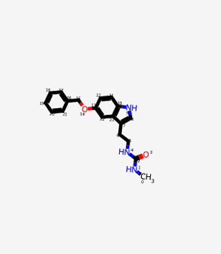 CNC(=O)NCCc1c[nH]c2ccc(OCc3ccccc3)cc12